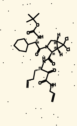 C=CCC[C@H](NC(=O)[C@@H]1[C@@H]2[C@H](CN1C(=O)[C@@H](NC(=O)OC(C)(C)C)C1CCCCC1)C2(Cl)Cl)C(=O)C(=O)NCC=C